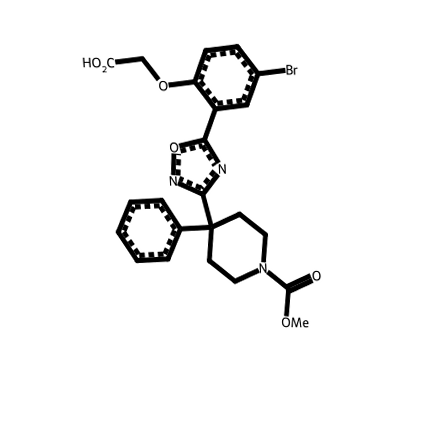 COC(=O)N1CCC(c2ccccc2)(c2noc(-c3cc(Br)ccc3OCC(=O)O)n2)CC1